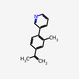 C=C(C)c1ccc(-c2cccnc2)c(C)c1